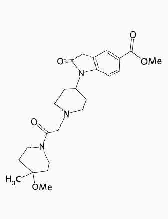 COC(=O)c1ccc2c(c1)CC(=O)N2C1CCN(CC(=O)N2CCC(C)(OC)CC2)CC1